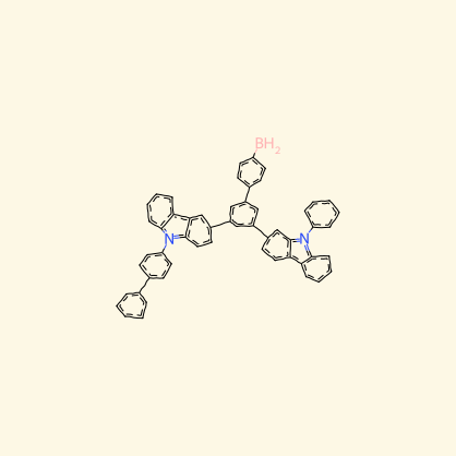 Bc1ccc(-c2cc(-c3ccc4c(c3)c3ccccc3n4-c3ccc(-c4ccccc4)cc3)cc(-c3ccc4c5ccccc5n(-c5ccccc5)c4c3)c2)cc1